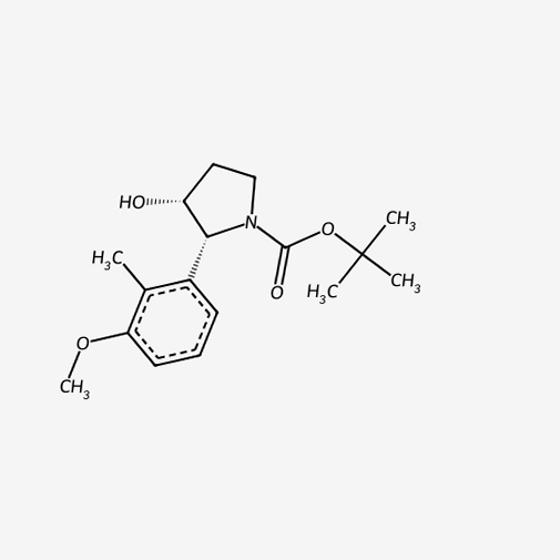 COc1cccc([C@@H]2[C@H](O)CCN2C(=O)OC(C)(C)C)c1C